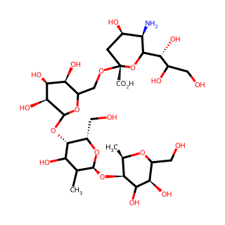 CC1C(O)[C@H](OC2OC(CO[C@]3(C(=O)O)C[C@@H](O)[C@@H](N)C([C@H](O)C(O)CO)O3)[C@H](O)[C@H](O)[C@@H]2O)[C@H](CO)O[C@H]1O[C@@H]1C(O)[C@H](O)C(CO)O[C@@H]1C